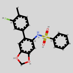 Cc1ccc(-c2cc3c(cc2NS(=O)(=O)c2ccccc2)OCO3)cc1F